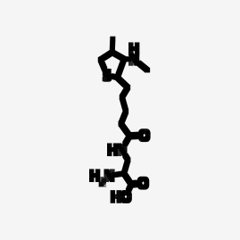 CNC1C(C)CSC1CCCCC(=O)NCC(N)C(=O)O